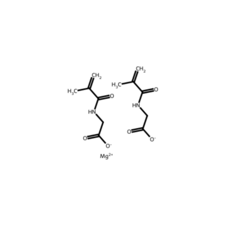 C=C(C)C(=O)NCC(=O)[O-].C=C(C)C(=O)NCC(=O)[O-].[Mg+2]